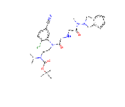 CC(C)N(CCN(C(=O)CNCC(=O)N(C)N1Cc2ccccc2C1)c1cc(C#N)ccc1Cl)C(=O)OC(C)(C)C